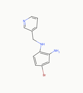 Nc1cc(Br)ccc1NCc1cccnc1